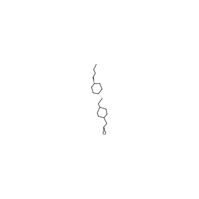 CCCC[C@H]1CC[C@H](CCC2CCC(CC=O)CC2)CC1